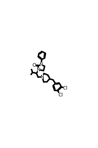 CC(C)C(CN1CCC(Cc2ccc(Cl)c(Cl)c2)CC1)N1CCN(c2ccccc2)C1=O